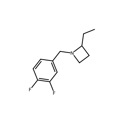 CCC1CCN1Cc1ccc(F)c(F)c1